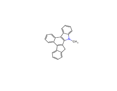 Cn1c2ccccc2c2c3ccccc3c3c(c21)Cc1ccccc1-3